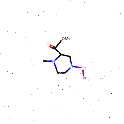 COC(=O)C1CN(PP)CCN1C